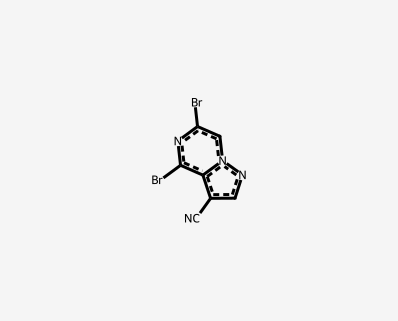 N#Cc1cnn2cc(Br)nc(Br)c12